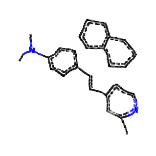 Cc1cc(C=Cc2ccc(N(C)C)cc2)ccn1.c1ccc2ccccc2c1